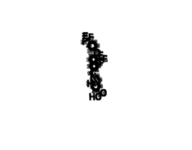 O=C(O)[C@@H]1CC[C@@H]2CN(Cc3ccc4c(C(F)(F)F)c(O[C@H]5CC[C@@H](C(F)(F)F)CC5)ccc4c3)CCN2C1